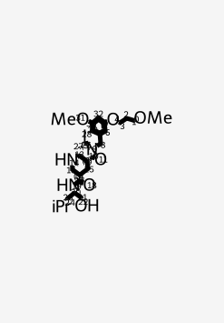 COCCCOc1cc(CN(C(=O)[C@H]2CNC[C@@H](C(=O)NC(CO)CC(C)C)C2)[C@H](C)I)cc(OC)c1